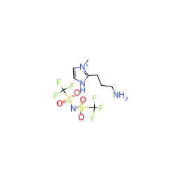 C[n+]1cc[nH]c1CCCN.O=S(=O)([N-]S(=O)(=O)C(F)(F)F)C(F)(F)F